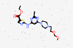 CCOC(=O)c1cnc(Nc2cc(N3CCN(CCOCOC)CC3)nc(C)n2)s1